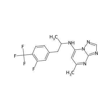 Cc1cc(NC(C)Cc2ccc(C(F)(F)F)c(F)c2)n2ncnc2n1